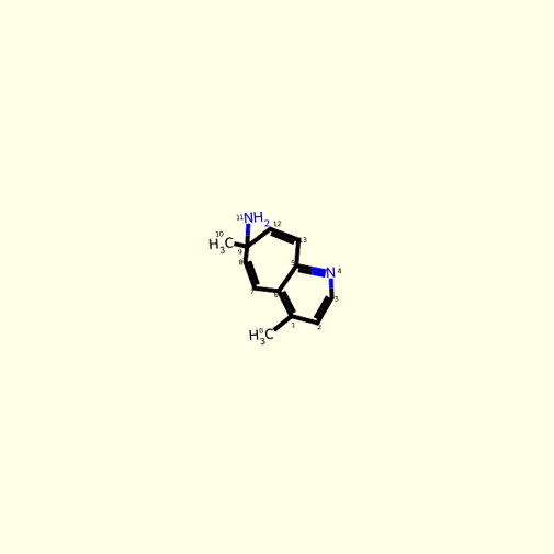 Cc1ccnc2c1C=CC(C)(N)C=C2